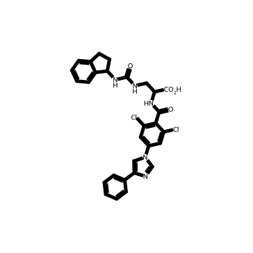 O=C(NCC(NC(=O)c1c(Cl)cc(-n2cnc(-c3ccccc3)c2)cc1Cl)C(=O)O)NC1CCc2ccccc21